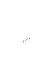 CCCCCCCCCCCC(=O)N[C@@H](/C=C/P(=O)(OCC)OCC)Cc1ccc(O)cc1